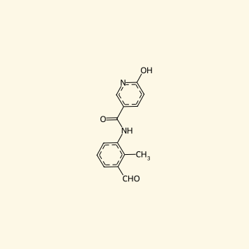 Cc1c(C=O)cccc1NC(=O)c1ccc(O)nc1